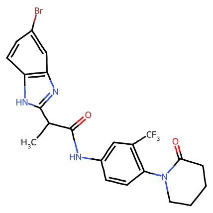 CC(C(=O)Nc1ccc(N2CCCCC2=O)c(C(F)(F)F)c1)c1nc2cc(Br)ccc2[nH]1